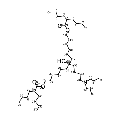 CCCCC(CCCC)C(=O)OCCCCCCC(O)(CCCCCCOC(=O)C(CCCC)CCCC)CCCCN(CCC)CCC